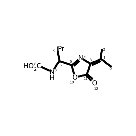 CC(C)=C1N=C(C(NC(=O)O)C(C)C)OC1=O